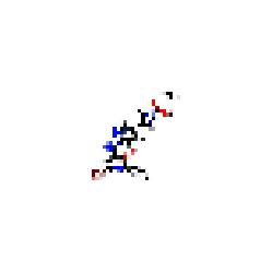 CC1N=C(Br)C=C(Nc2ccc(C3CN(C(=O)OC(C)(C)C)C3)cn2)C1=O